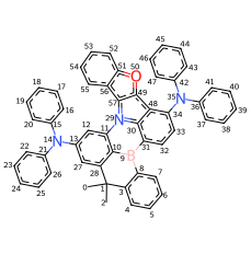 CC1(C)c2ccccc2B2c3c(cc(N(c4ccccc4)c4ccccc4)cc31)-n1c3c2ccc(N(c2ccccc2)c2ccccc2)c3c2oc3ccccc3c21